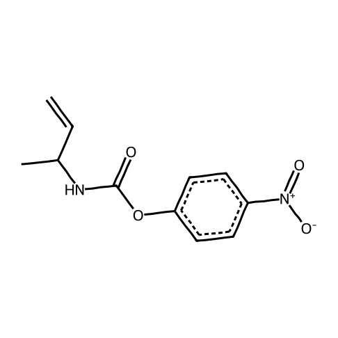 C=CC(C)NC(=O)Oc1ccc([N+](=O)[O-])cc1